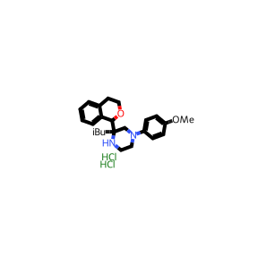 CCC(C)C1(C2OCCc3ccccc32)CN(c2ccc(OC)cc2)CCN1.Cl.Cl